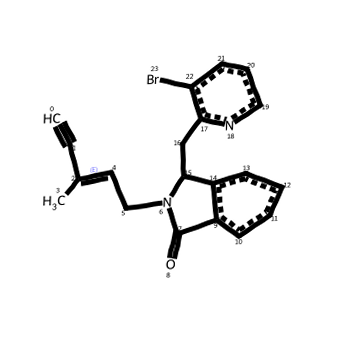 C#C/C(C)=C/CN1C(=O)c2ccccc2C1Cc1ncccc1Br